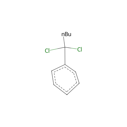 CCCCC(Cl)(Cl)c1ccccc1